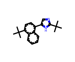 CC(C)(C)c1ncc(-c2ccc(C(C)(C)C)c3ccccc23)[nH]1